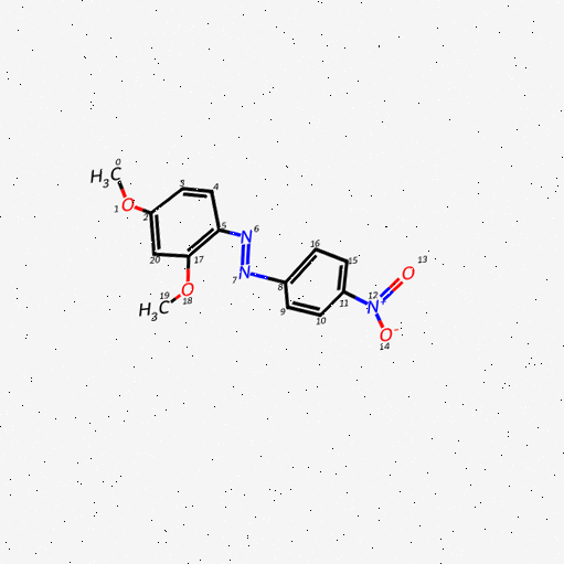 COc1ccc(N=Nc2ccc([N+](=O)[O-])cc2)c(OC)c1